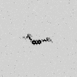 CN(C)CCCOc1ccc2cc3ccc(OCCCN(C)C)cc3nc2c1